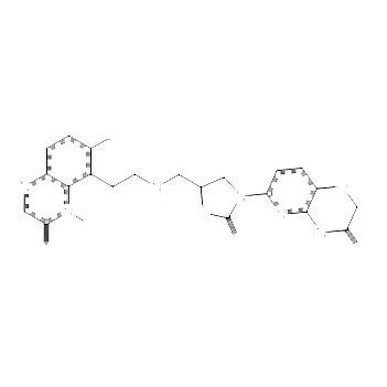 Cn1c(=O)cnc2ccc(F)c(CCNCC3CN(c4ccc5c(n4)NC(=O)CO5)C(=O)O3)c21